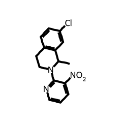 CC1c2cc(Cl)ccc2CCN1c1ncccc1[N+](=O)[O-]